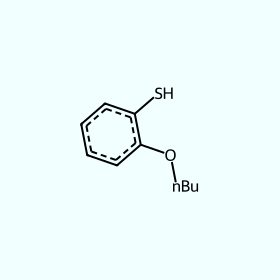 CCCCOc1ccccc1S